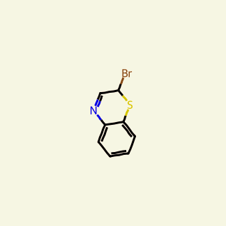 BrC1C=Nc2ccccc2S1